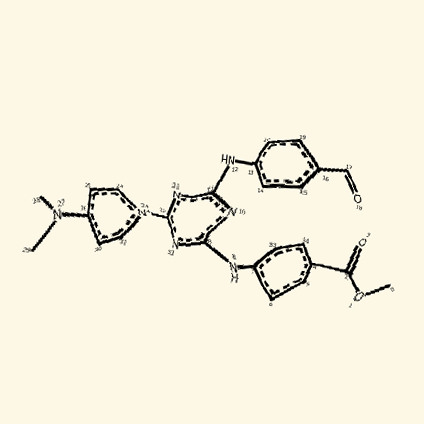 COC(=O)c1ccc(Nc2nc(Nc3ccc(C=O)cc3)nc(-[n+]3ccc(N(C)C)cc3)n2)cc1